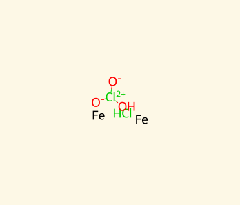 Cl.[Fe].[Fe].[O-][Cl+2]([O-])O